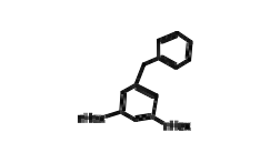 CCCCCCc1cc(CCCCCC)cc(Cc2ccccc2)c1